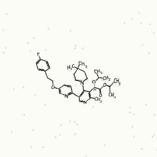 Cc1ncc(-c2ccc(OCCc3ccc(F)cc3)cn2)c(N2CCC(C)(C)CC2)c1[C@H](OC(C)C)C(=O)OC(C)C